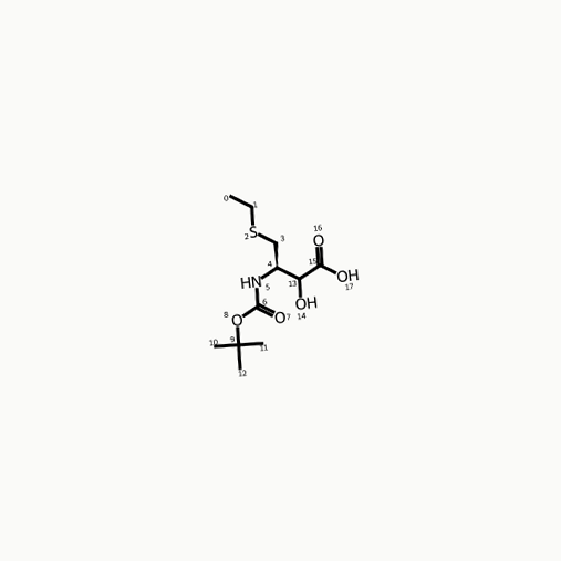 CCSC[C@H](NC(=O)OC(C)(C)C)C(O)C(=O)O